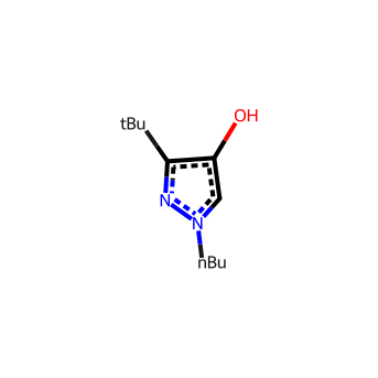 CCCCn1cc(O)c(C(C)(C)C)n1